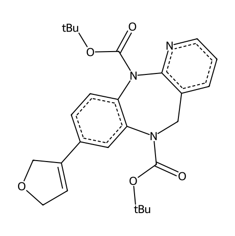 CC(C)(C)OC(=O)N1Cc2cccnc2N(C(=O)OC(C)(C)C)c2ccc(C3=CCOC3)cc21